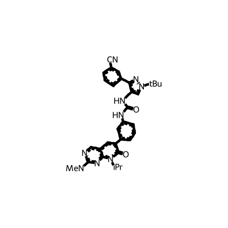 CNc1ncc2cc(-c3cccc(NC(=O)Nc4cn(C(C)(C)C)nc4-c4cccc(C#N)c4)c3)c(=O)n(C(C)C)c2n1